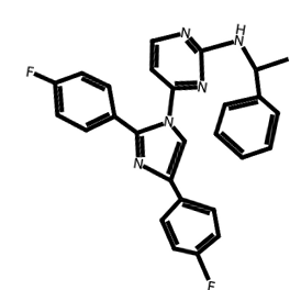 CC(Nc1nccc(-n2cc(-c3ccc(F)cc3)nc2-c2ccc(F)cc2)n1)c1ccccc1